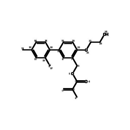 C=C(C)C(=O)OCc1cc(-c2ccc(C)cc2F)ccc1OCCO